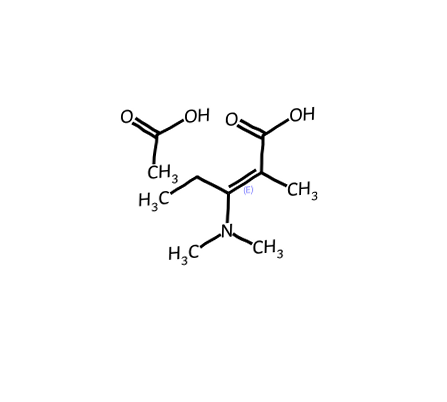 CC(=O)O.CC/C(=C(/C)C(=O)O)N(C)C